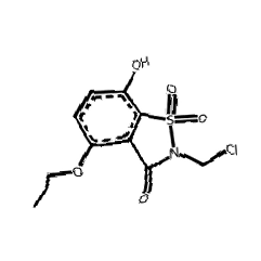 CCOc1ccc(O)c2c1C(=O)N(CCl)S2(=O)=O